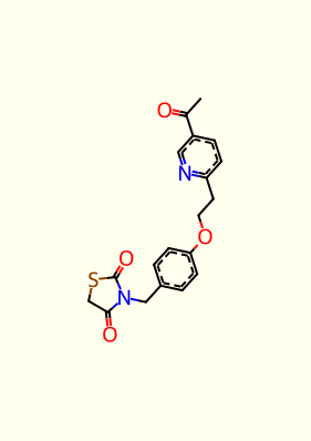 CC(=O)c1ccc(CCOc2ccc(CN3C(=O)CSC3=O)cc2)nc1